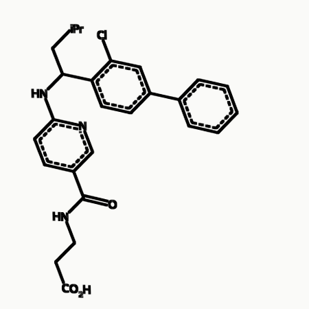 CC(C)CC(Nc1ccc(C(=O)NCCC(=O)O)cn1)c1ccc(-c2ccccc2)cc1Cl